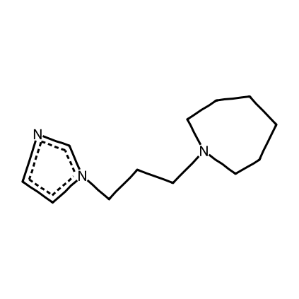 c1cn(CCCN2CCCCCC2)cn1